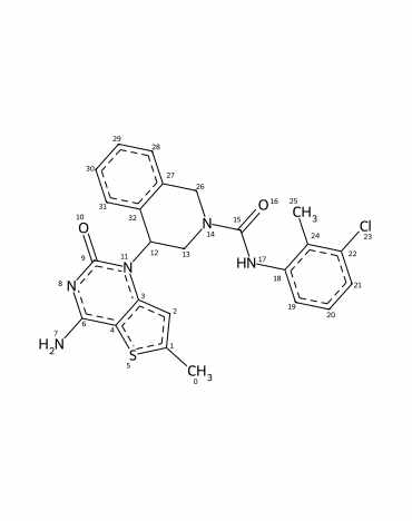 Cc1cc2c(s1)c(N)nc(=O)n2C1CN(C(=O)Nc2cccc(Cl)c2C)Cc2ccccc21